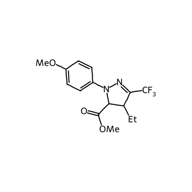 CCC1C(C(F)(F)F)=NN(c2ccc(OC)cc2)C1C(=O)OC